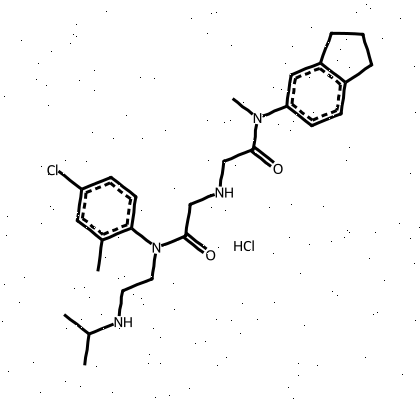 Cc1cc(Cl)ccc1N(CCNC(C)C)C(=O)CNCC(=O)N(C)c1ccc2c(c1)CCC2.Cl